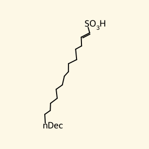 CCCCCCCCCCCCCCCCCCCCCCC=CS(=O)(=O)O